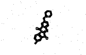 Cc1ccc2c(c1)C(=O)c1nc3ccc(CN4CCCCC4)cc3c(=O)n1-2